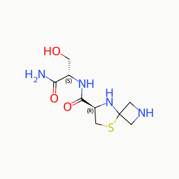 NC(=O)[C@H](CO)NC(=O)[C@@H]1CSC2(CNC2)N1